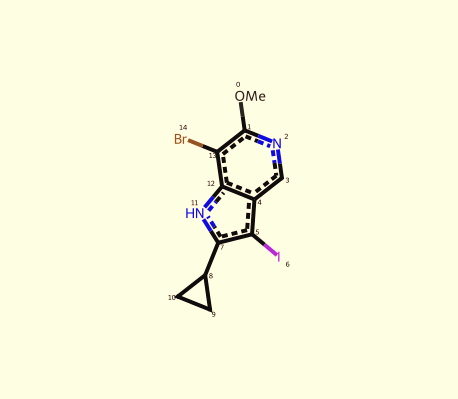 COc1ncc2c(I)c(C3CC3)[nH]c2c1Br